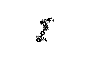 Cc1cc(Nc2nc(OS(=O)(=O)OCc3ccc(C(=O)Nc4ccccc4N)cc3)nn3cccc23)n[nH]1